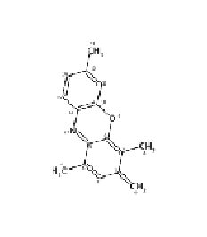 C=c1cc(C)c2c(c1C)Oc1cc(C)ccc1N=2